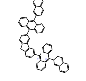 C/C(c1ccc2sc3ccc(-c4c5ccccc5c(-c5ccc6ccccc6c5)c5ccccc45)cc3c2c1)=c1/cccc/c1=C(/c1ccccc1)C1C=c2ccccc2=CC1